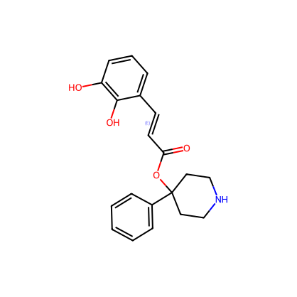 O=C(/C=C/c1cccc(O)c1O)OC1(c2ccccc2)CCNCC1